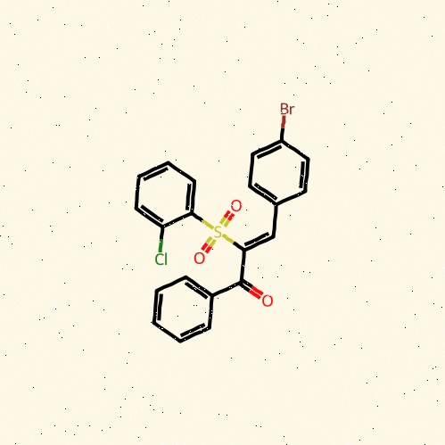 O=C(C(=Cc1ccc(Br)cc1)S(=O)(=O)c1ccccc1Cl)c1ccccc1